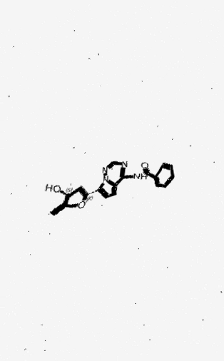 C=C1O[C@@H](c2ccc3c(NC(=O)c4ccccc4)ncnn23)C[C@@H]1O